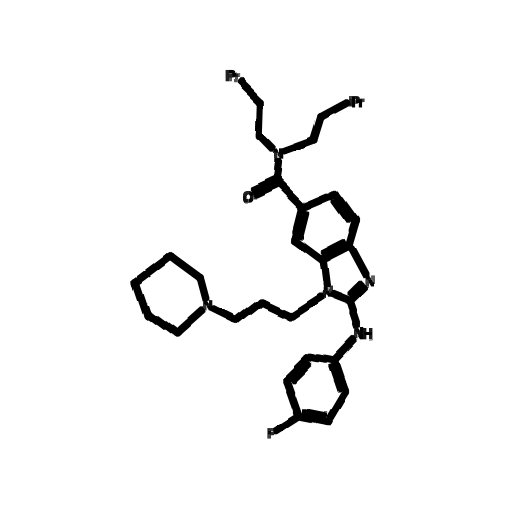 CC(C)CCN(CCC(C)C)C(=O)c1ccc2nc(Nc3ccc(F)cc3)n(CCCN3CCCCC3)c2c1